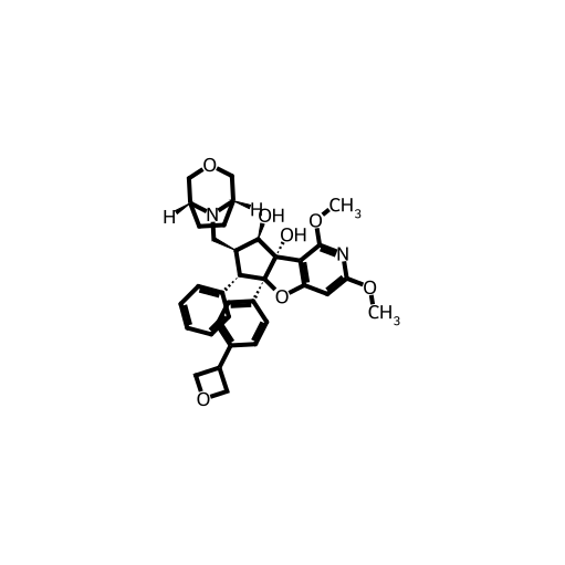 COc1cc2c(c(OC)n1)[C@]1(O)[C@H](O)[C@H](CN3[C@@H]4CC[C@H]3COC4)[C@@H](c3ccccc3)[C@]1(c1ccc(C3COC3)cc1)O2